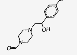 O=CN1CCN(CC(O)c2ccc(Br)cc2)CC1